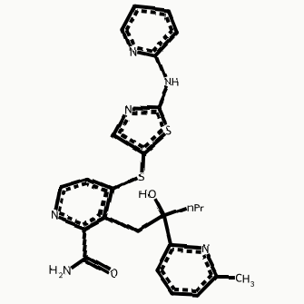 CCCC(O)(Cc1c(Sc2cnc(Nc3ccccn3)s2)ccnc1C(N)=O)c1cccc(C)n1